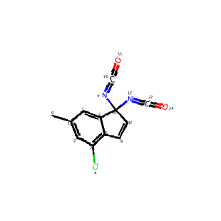 Cc1cc(Cl)c2c(c1)C(N=C=O)(N=C=O)C=C2